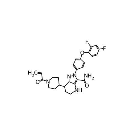 C=CC(=O)N1CCC(C2CCNc3c2nn(-c2ccc(Oc4ccc(F)cc4F)cc2)c3C(N)=O)CC1